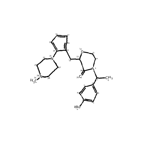 CC(c1ccc(C(C)(C)C)cc1)N1CCOC(Cc2ccccc2N2CCN(C)CC2)C1=O